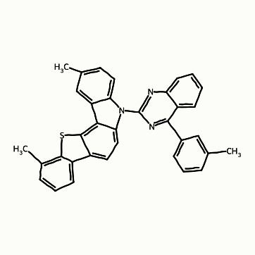 Cc1cccc(-c2nc(-n3c4ccc(C)cc4c4c5sc6c(C)cccc6c5ccc43)nc3ccccc23)c1